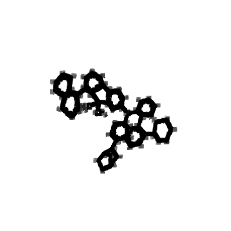 CC1(C)c2cc(N(c3ccc(C4CC5CCC4C5)cc3)c3ccccc3-c3ccccc3C3CCCCC3)ccc2-c2cccc(-c3cccc4ccccc34)c21